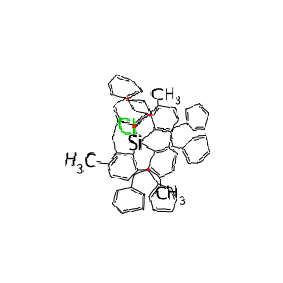 Cc1ccc(Cc2ccccc2)c([Si](Cl)(c2c(Cc3ccccc3)ccc(C)c2Cc2ccccc2)c2c(Cc3ccccc3)ccc(C)c2Cc2ccccc2)c1Cc1ccccc1